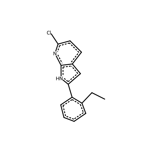 CCc1ccccc1-c1cc2ccc(Cl)nc2[nH]1